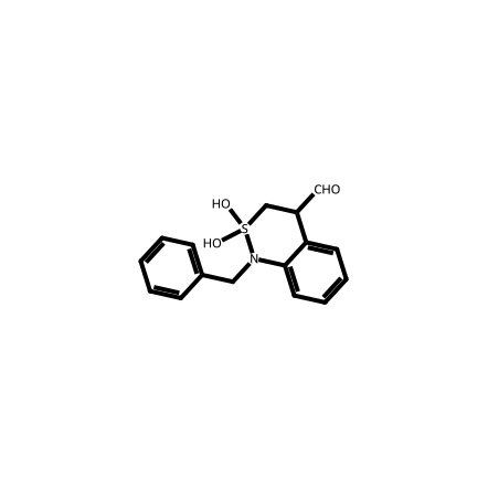 O=CC1CS(O)(O)N(Cc2ccccc2)c2ccccc21